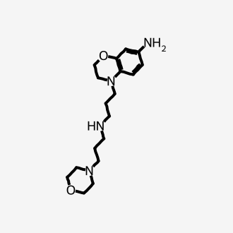 Nc1ccc2c(c1)OCCN2CCCNCCCN1CCOCC1